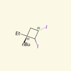 CCCC[C@@]1(CC)C[C@H](I)C1I